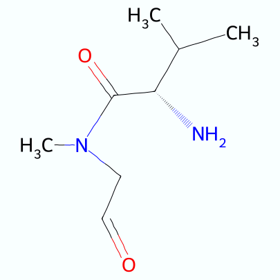 CC(C)[C@H](N)C(=O)N(C)CC=O